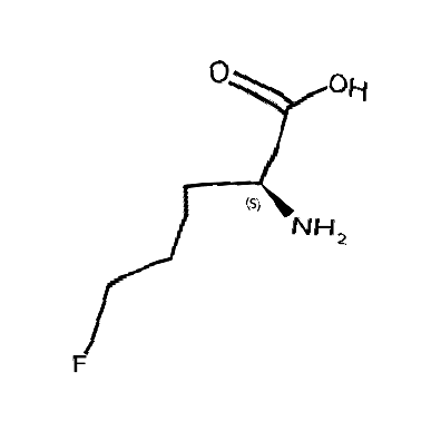 N[C@@H](CCCF)C(=O)O